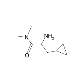 CN(C)C(=O)C(N)CC1CC1